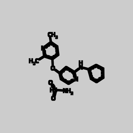 Cc1ccc(Oc2ccnc(Nc3ccccc3)c2)c(C)n1.N[SH](=O)=O